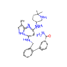 CC(C)c1cnn2c(NCc3ccccc3-c3cccc(C(N)=O)c3)cc(NC3CCC(C)(C)NC3)nc12